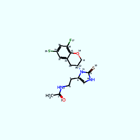 CC(=O)NCCc1c[nH]c(=S)n1[C@H]1COc2c(F)cc(F)cc2C1